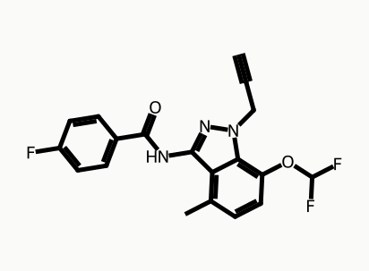 C#CCn1nc(NC(=O)c2ccc(F)cc2)c2c(C)ccc(OC(F)F)c21